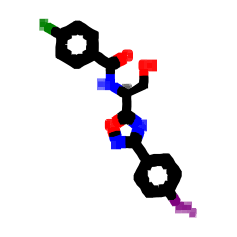 O=C(N[C@@H](CO)c1nc(-c2ccc(P)cc2)no1)c1ccc(F)cc1